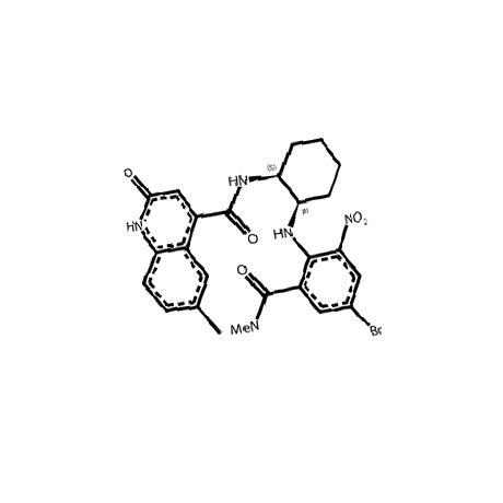 CNC(=O)c1cc(Br)cc([N+](=O)[O-])c1N[C@@H]1CCCC[C@@H]1NC(=O)c1cc(=O)[nH]c2ccc(C)cc12